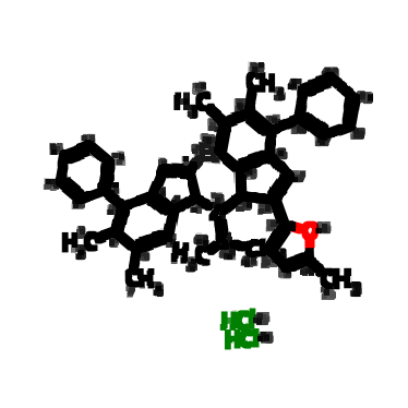 CCC1=Cc2c(cc(C)c(C)c2-c2ccccc2)[CH]1[Zr]([CH]1C(c2ccc(C)o2)=Cc2c1cc(C)c(C)c2-c1ccccc1)=[Si](C)C.Cl.Cl